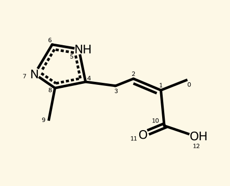 CC(=CCc1[nH]cnc1C)C(=O)O